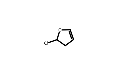 Cl[C]1CC=CO1